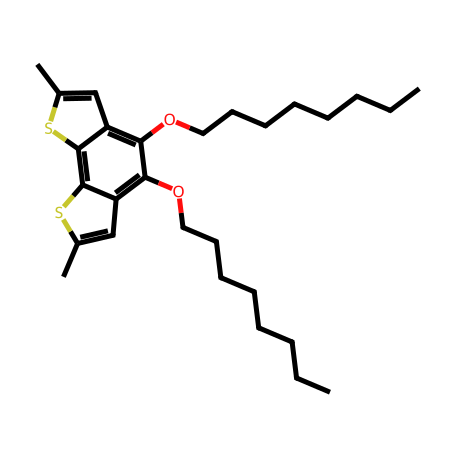 CCCCCCCCOc1c(OCCCCCCCC)c2cc(C)sc2c2sc(C)cc12